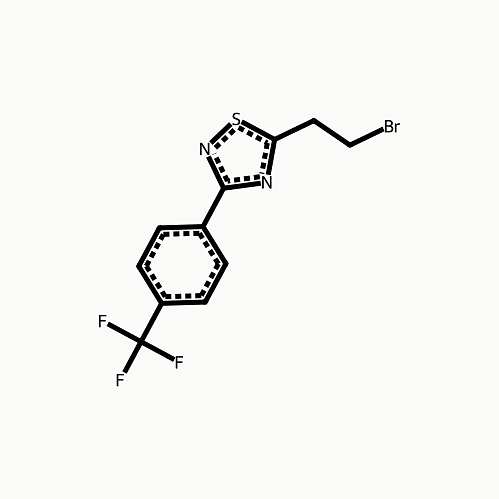 FC(F)(F)c1ccc(-c2nsc(CCBr)n2)cc1